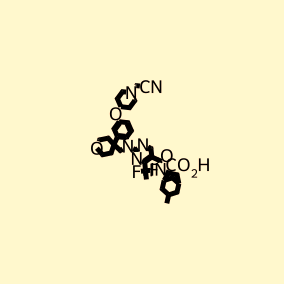 CC1CC2CC(C1)C(NC(=O)c1cnc(N3CC4(CCOCC4)c4cc(OC5CCN(CC#N)CC5)ccc43)nc1C(C)(F)F)(C(=O)O)C2